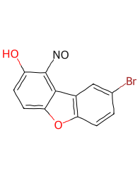 O=Nc1c(O)ccc2oc3ccc(Br)cc3c12